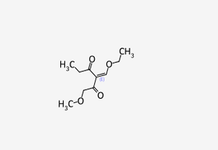 CCO/C=C(\C(=O)CC)C(=O)COC